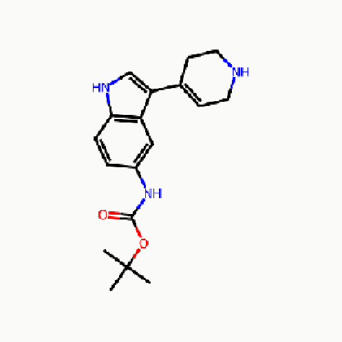 CC(C)(C)OC(=O)Nc1ccc2[nH]cc(C3=CCNCC3)c2c1